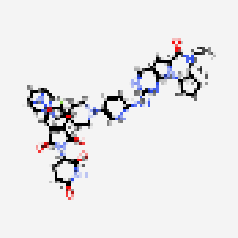 CN(C)C(=O)c1cc2cnc(Nc3ccc(N4CCC(CN5CC6CC(C5)N6c5cc6c(cc5F)C(=O)N(C5CCC(=O)NC5=O)C6=O)CC4)cn3)nc2n1C1CCCC1